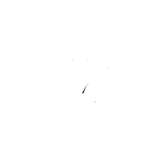 CCOC(=O)[C@]1(c2ccccc2)C[C@H]1CO